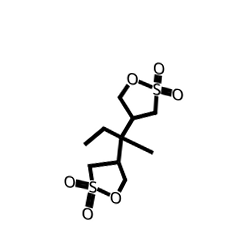 CCC(C)(C1COS(=O)(=O)C1)C1COS(=O)(=O)C1